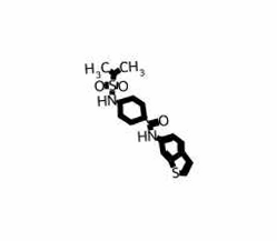 CC(C)S(=O)(=O)N[C@H]1CC[C@H](C(=O)Nc2ccc3ccsc3c2)CC1